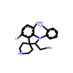 COc1ccc(Cl)c2c1N(c1ccccc1N)C(CC(C)(C)C)C21CCNCC1